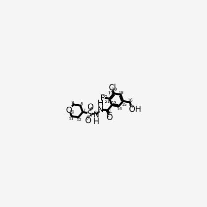 O=C(NNS(=O)(=O)C1CCOCC1)c1cc(CO)cc(Cl)c1F